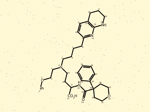 CC(C)OCCN(CCCCc1ccc2c(n1)NCCC2)CCC(NC(=O)C1(c2ccccc2)CCOCC1)C(=O)O